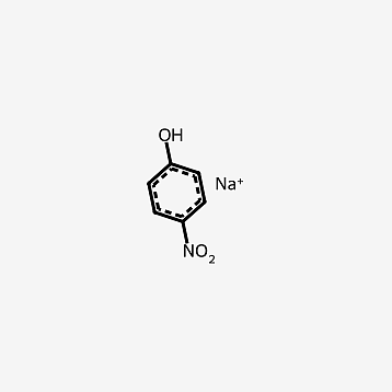 O=[N+]([O-])c1ccc(O)cc1.[Na+]